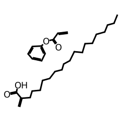 C=C(CCCCCCCCCCCCCCCCCC)C(=O)O.C=CC(=O)Oc1ccccc1